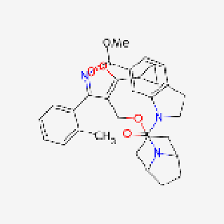 COC(=O)c1ccc2c(c1)N(C(=O)N1C3CCC1CC(OCc1c(-c4ccccc4C)noc1C1CC1)C3)CC2